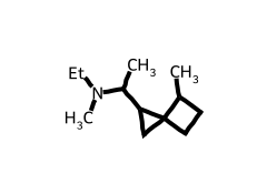 CCN(C)C(C)C1CC12CCC2C